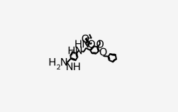 CCS(=O)(=O)NC(CNc1ccc(C(=N)N)cc1)c1ccc(OCc2ccccc2)c(OC)c1